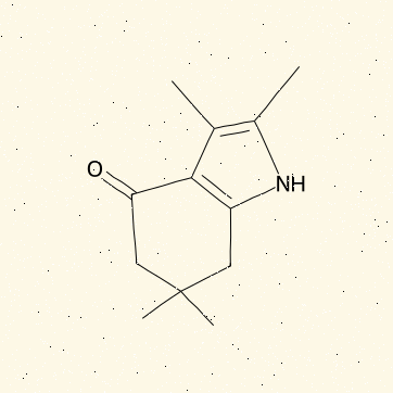 Cc1[nH]c2c(c1C)C(=O)CC(C)(C)C2